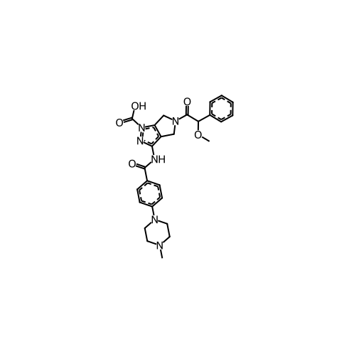 COC(C(=O)N1Cc2c(NC(=O)c3ccc(N4CCN(C)CC4)cc3)nn(C(=O)O)c2C1)c1ccccc1